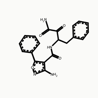 NC(=O)C(=O)C(Cc1ccccc1)NC(=O)c1c(N)noc1-c1ccccc1